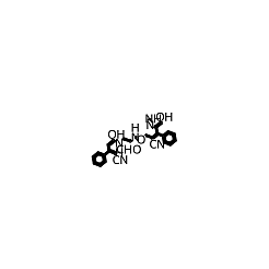 N#C/C(CONCCN/C(O)=C\C(=C(\C#N)C=O)c1ccccc1)=C(/C(=C/O)N=N)c1ccccc1